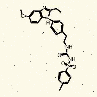 CCC1=Nc2cc(OC)ccc2[SH]1c1ccc(CCNC(=O)NS(=O)(=O)c2ccc(C)cc2)cc1